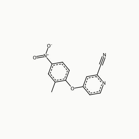 Cc1cc([N+](=O)[O-])ccc1Oc1ccnc(C#N)c1